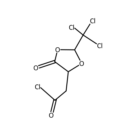 O=C(Cl)CC1OC(C(Cl)(Cl)Cl)OC1=O